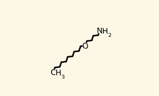 CCCCCCCCCCOCCCCN